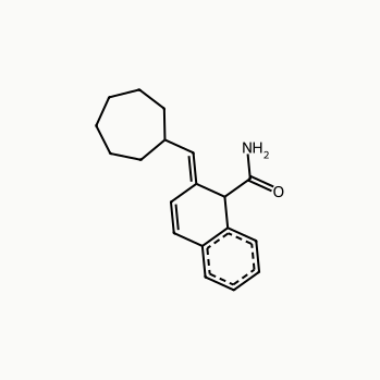 NC(=O)C1C(=CC2CCCCCC2)C=Cc2ccccc21